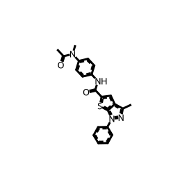 CC(=O)N(C)c1ccc(NC(=O)c2cc3c(C)nn(-c4ccccc4)c3s2)cc1